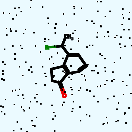 CC(Br)c1cccc2c1CCC2=O